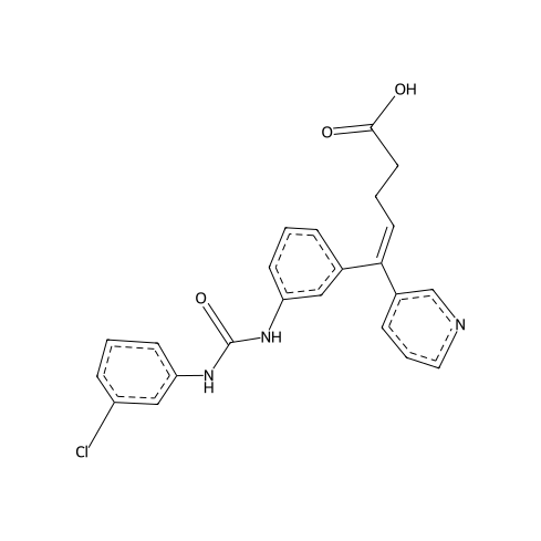 O=C(O)CCC=C(c1cccnc1)c1cccc(NC(=O)Nc2cccc(Cl)c2)c1